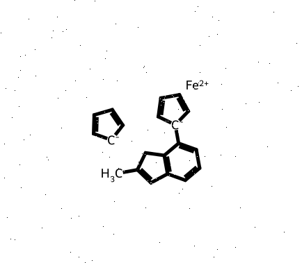 CC1=Cc2cccc(-[c-]3cccc3)c2C1.[Fe+2].c1cc[cH-]c1